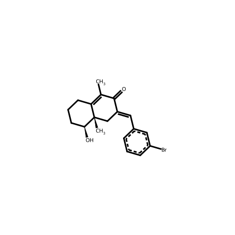 CC1=C2CCC[C@H](O)[C@@]2(C)CC(=Cc2cccc(Br)c2)C1=O